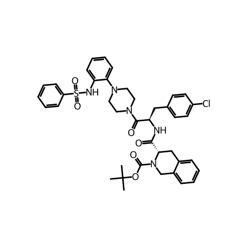 CC(C)(C)OC(=O)N1Cc2ccccc2C[C@H]1C(=O)N[C@H](Cc1ccc(Cl)cc1)C(=O)N1CCN(c2ccccc2NS(=O)(=O)c2ccccc2)CC1